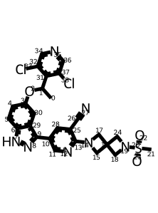 CC(Oc1ccc2[nH]nc(-c3cnc(N4CC5(C4)CN(S(C)(=O)=O)C5)c(C#N)c3)c2c1)c1c(Cl)cncc1Cl